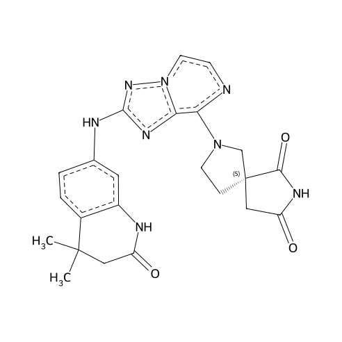 CC1(C)CC(=O)Nc2cc(Nc3nc4c(N5CC[C@]6(CC(=O)NC6=O)C5)nccn4n3)ccc21